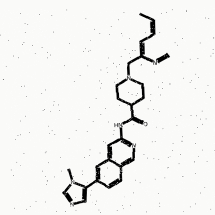 C=N/C(=C\C=C/C)CN1CCC(C(=O)Nc2cc3cc(-c4cncn4C)ccc3cn2)CC1